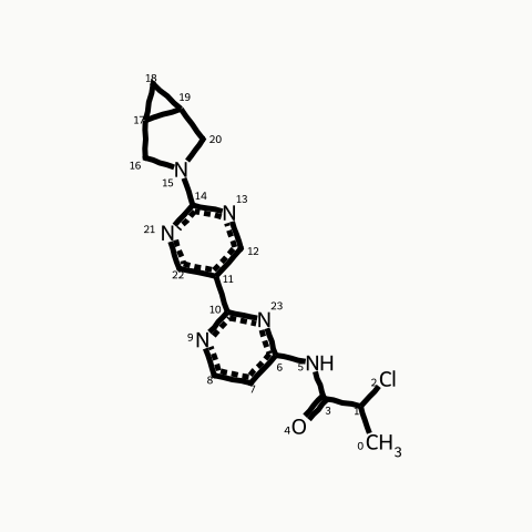 CC(Cl)C(=O)Nc1ccnc(-c2cnc(N3CC4CC4C3)nc2)n1